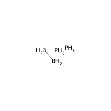 BB.P.P